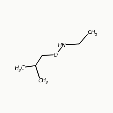 [CH2]CNOCC(C)C